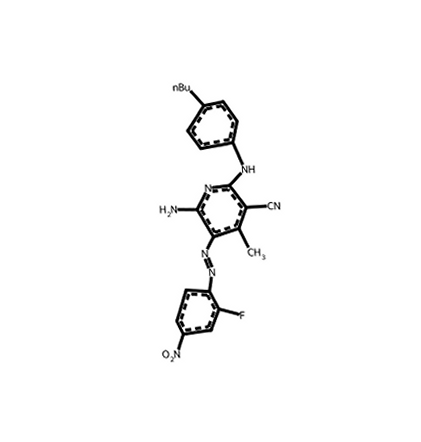 CCCCc1ccc(Nc2nc(N)c(/N=N/c3ccc([N+](=O)[O-])cc3F)c(C)c2C#N)cc1